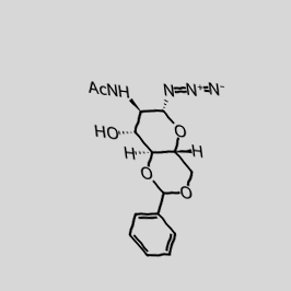 CC(=O)N[C@@H]1[C@@H](O)[C@@H]2OC(c3ccccc3)OC[C@H]2O[C@H]1N=[N+]=[N-]